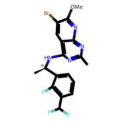 COc1nc2nc(C)nc(N[C@H](C)c3cccc(C(F)F)c3F)c2cc1Br